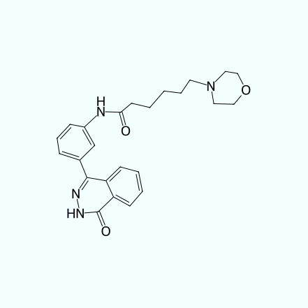 O=C(CCCCCN1CCOCC1)Nc1cccc(-c2n[nH]c(=O)c3ccccc23)c1